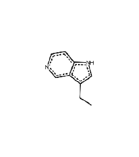 CCc1c[nH]c2ccncc12